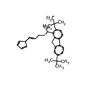 CC(CCC=CC1C=CC=C1)c1c(C(C)(C)C)ccc2c1Cc1cc(C(C)(C)C)ccc1-2